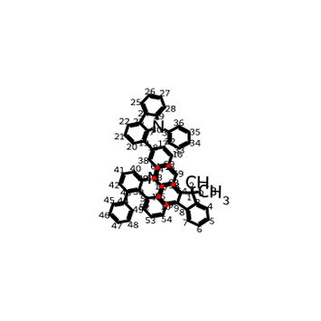 CC1(C)c2ccccc2-c2ccc(N(c3cccc(-c4cccc5c6ccccc6n(-c6ccccc6)c45)c3)c3cccc(-c4ccccc4)c3-c3ccccc3-c3ccccc3)cc21